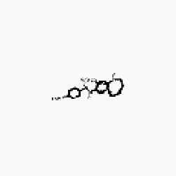 CCCc1ccc(C(=O)Nc2cc3c(cc2OC)NCCCC3)cc1